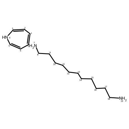 C1=CC=CNC=C1.NCCCCCCCCCCCN